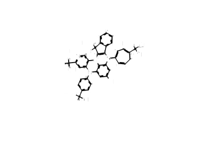 Cc1cc2c3c(c1)N(c1ccc(C(C)(C)C)cc1)c1cc(C(C)(C)C)ncc1B3C1=C(c3ccccc3C1(C)C)N2C1=CC=C(C(C)(C)C)CC=C1